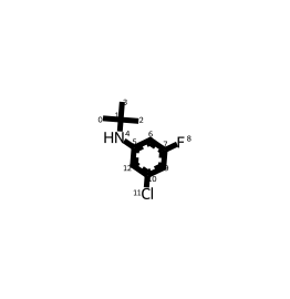 CC(C)(C)Nc1cc(F)cc(Cl)c1